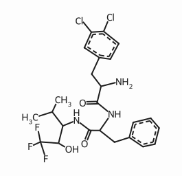 CC(C)C(NC(=O)C(Cc1ccccc1)NC(=O)C(N)Cc1ccc(Cl)c(Cl)c1)C(O)C(F)(F)F